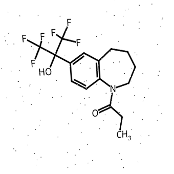 CCC(=O)N1CCCCc2cc(C(O)(C(F)(F)F)C(F)(F)F)ccc21